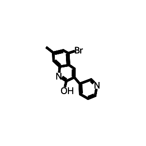 Cc1cc(Br)c2cc(-c3cccnc3)c(O)nc2c1